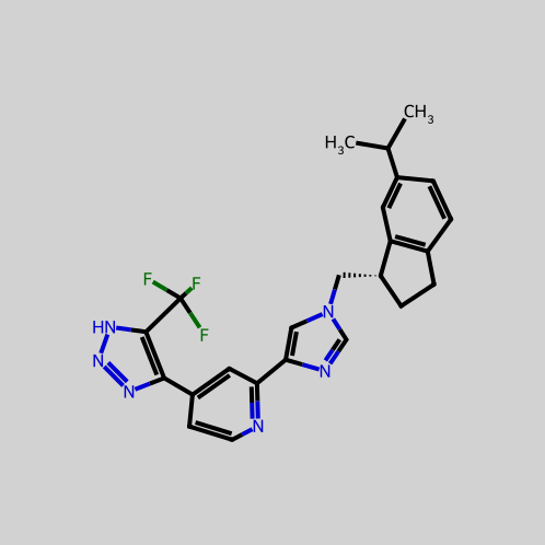 CC(C)c1ccc2c(c1)[C@@H](Cn1cnc(-c3cc(-c4nn[nH]c4C(F)(F)F)ccn3)c1)CC2